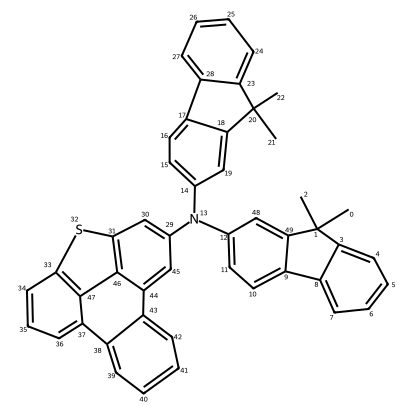 CC1(C)c2ccccc2-c2ccc(N(c3ccc4c(c3)C(C)(C)c3ccccc3-4)c3cc4sc5cccc6c7ccccc7c(c3)c4c56)cc21